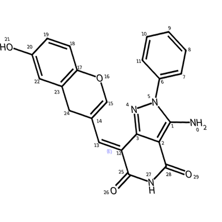 Nc1c2c(nn1-c1ccccc1)/C(=C\C1=COc3ccc(O)cc3C1)C(=O)NC2=O